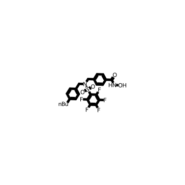 CCCCc1ccc(CN(Cc2ccc(C(=O)NO)cc2)S(=O)(=O)c2c(F)c(F)c(F)c(F)c2F)cc1